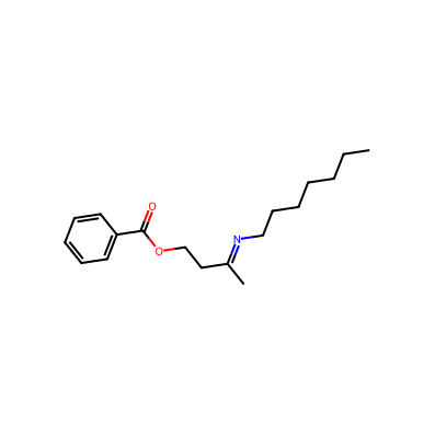 CCCCCCCN=C(C)CCOC(=O)c1ccccc1